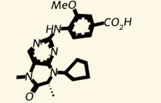 COc1cc(C(=O)O)ccc1Nc1ncc2c(n1)N(C1CCCC1)[C@H](C)C(=O)N2C